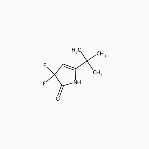 CC(C)(C)C1=CC(F)(F)C(=O)N1